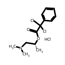 C[C@H](CN(C)C)OC(=O)C(Cl)(Cl)c1ccccc1.Cl